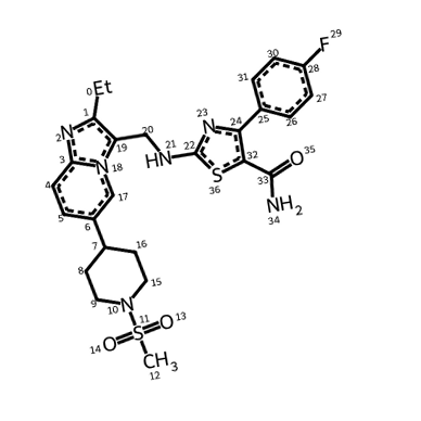 CCc1nc2ccc(C3CCN(S(C)(=O)=O)CC3)cn2c1CNc1nc(-c2ccc(F)cc2)c(C(N)=O)s1